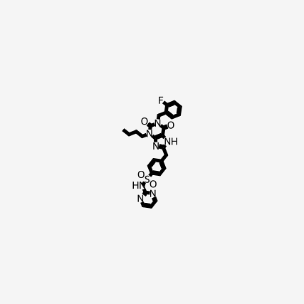 CCCCn1c(=O)n(Cc2ccccc2F)c(=O)c2[nH]c(Cc3ccc(S(=O)(=O)Nc4ncccn4)cc3)nc21